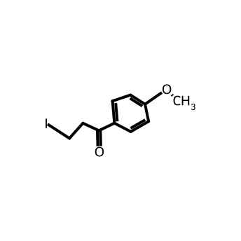 COc1ccc(C(=O)CCI)cc1